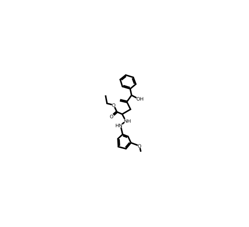 C=C(CC(NNc1cccc(OC)c1)C(=O)OCC)C(O)c1ccccc1